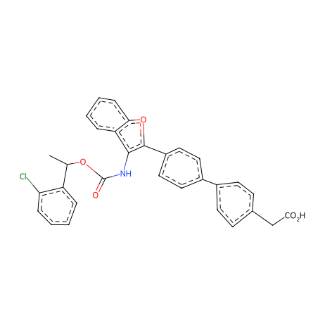 CC(OC(=O)Nc1c(-c2ccc(-c3ccc(CC(=O)O)cc3)cc2)oc2ccccc12)c1ccccc1Cl